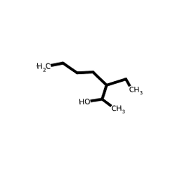 [CH2]CCCC(CC)C(C)O